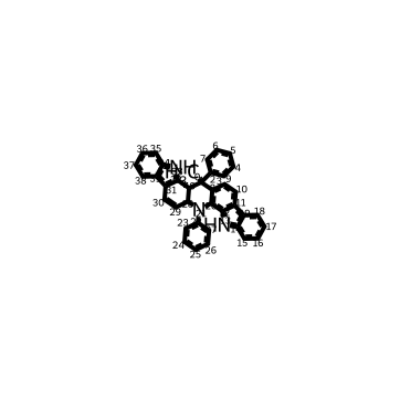 CC1(c2ccccc2)c2ccc3c([nH]c4ccccc43)c2N(c2ccccc2)C2C=Cc3c([nH]c4ccccc34)C21